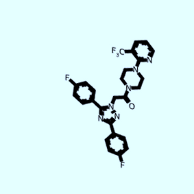 O=C(Cn1nc(-c2ccc(F)cc2)nc1-c1ccc(F)cc1)N1CCN(c2ncccc2C(F)(F)F)CC1